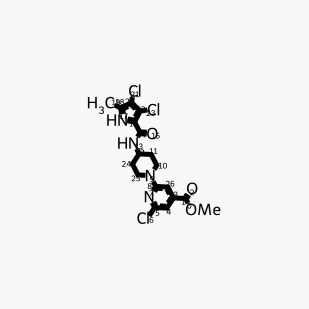 COC(=O)c1cc(Cl)nc(N2CCC(NC(=O)c3[nH]c(C)c(Cl)c3Cl)CC2)c1